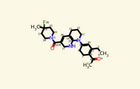 CCC1=C(C(C)=O)CCC(N2CCCC3=C2NCC(C(=O)N2CCC(C)(F)CC2)=C3)=C1